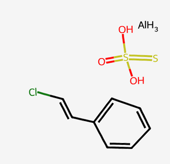 ClC=Cc1ccccc1.O=S(O)(O)=S.[AlH3]